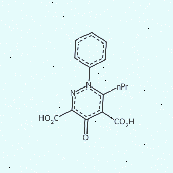 CCCc1c(C(=O)O)c(=O)c(C(=O)O)nn1-c1ccccc1